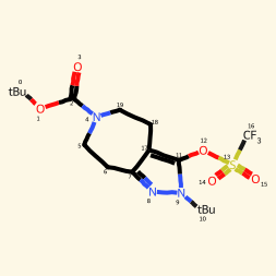 CC(C)(C)OC(=O)N1CCc2nn(C(C)(C)C)c(OS(=O)(=O)C(F)(F)F)c2CC1